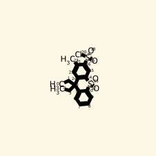 CCC1(CC)c2ccccc2S(=O)(=O)c2cc(S(=O)(=O)Cl)c(C)cc21